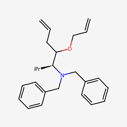 C=CCOC(CC=C)[C@H](C(C)C)N(Cc1ccccc1)Cc1ccccc1